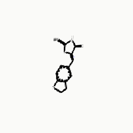 N=C1NC(=O)/C(=C/c2ccc3c(c2)CCO3)S1